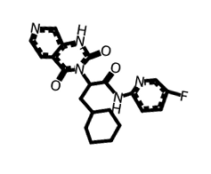 O=C(Nc1ccc(F)cn1)C(CC1CCCCC1)n1c(=O)[nH]c2cnccc2c1=O